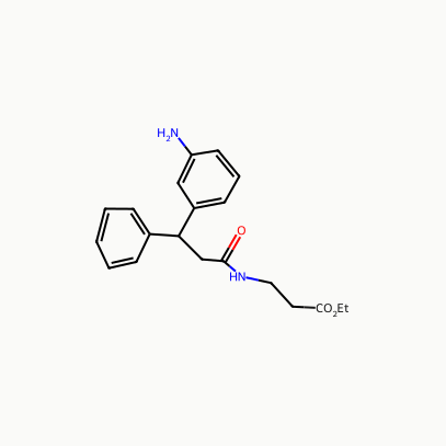 CCOC(=O)CCNC(=O)CC(c1ccccc1)c1cccc(N)c1